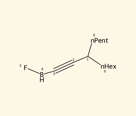 CCCCCCC(C#CBF)CCCCC